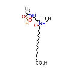 CC(NC(=O)CC[C@H](NC(=O)CCCCCCCCCCCCCCC(=O)O)C(=O)O)C(=O)S